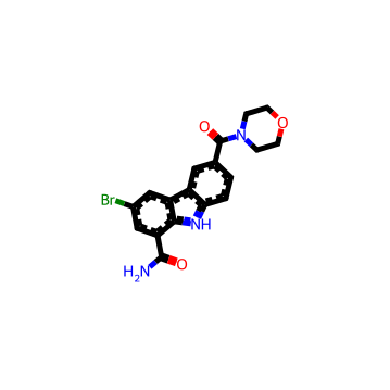 NC(=O)c1cc(Br)cc2c1[nH]c1ccc(C(=O)N3CCOCC3)cc12